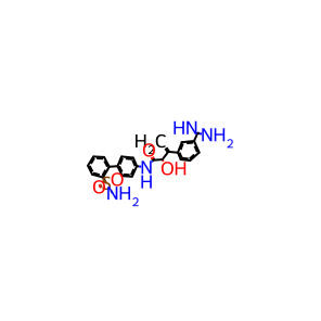 C=C(c1cccc(C(=N)N)c1)C(O)C(=O)Nc1ccc(-c2ccccc2S(N)(=O)=O)cc1